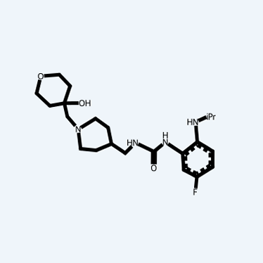 CC(C)Nc1ccc(F)cc1NC(=O)NCC1CCN(CC2(O)CCOCC2)CC1